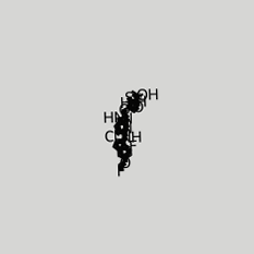 O[C@@H]1CS[C@H]2[C@@H]1OC[C@H]2Oc1nc2nc(NC3CCc4cc(OCF)cc(F)c43)c(Cl)cc2[nH]1